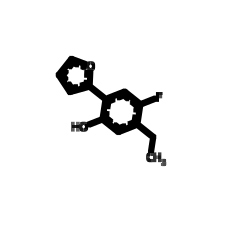 CCc1cc(O)c(-c2ccco2)cc1F